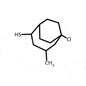 CC1CC(S)C2CCC(Cl)(CC2)C1